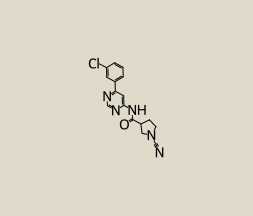 N#CN1CCC(C(=O)Nc2cc(-c3cccc(Cl)c3)ncn2)C1